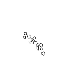 O=C1SC(=Cc2c[nH]c3c(OCc4ccccc4)cccc23)C(=O)N1c1ccc(Cl)c(Cl)c1